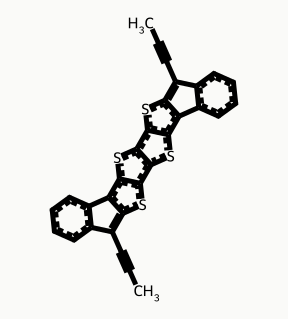 CC#CC1=c2sc3c(sc4c5sc6c(c5sc34)-c3ccccc3C=6C#CC)c2-c2ccccc21